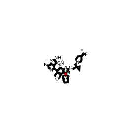 N#Cc1c(N)sc2c(F)cnc(-c3c4c(c5c(N6C7CCC6CN(O)C7)nc(OCC6(CN7CCC(=C(F)F)CC7)CC6)nc5c3F)COC4)c12